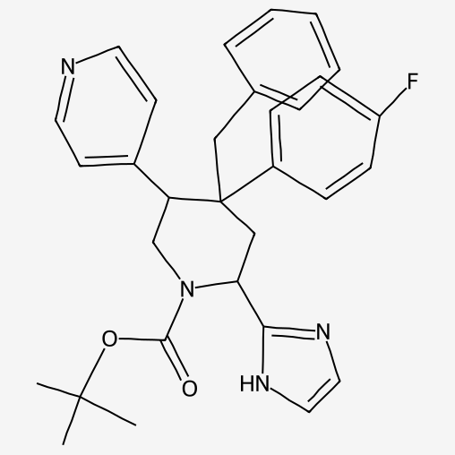 CC(C)(C)OC(=O)N1CC(c2ccncc2)C(Cc2ccccc2)(c2ccc(F)cc2)CC1c1ncc[nH]1